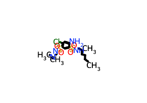 CCCCCC(C)CNS(=O)(=O)c1cc(S(=O)(=O)N=CN(C)C)c(Cl)cc1N